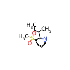 CCC(C)c1ncccc1S(C)(=O)=O